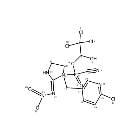 N#CP(=O)(OC(O)C(Cl)(Cl)Cl)[N+]1(Cc2ccc(Cl)nc2)CCNC1=N[N+](=O)[O-]